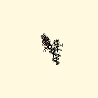 CCc1nc2c(NCc3ccc(OC)cc3OC)ncc(-c3ccc(N4CCC(N5CC6CCC(C5)N6C(=O)OC(C)(C)C)CC4)c(OC)c3)c2nc1NC1CCOCC1